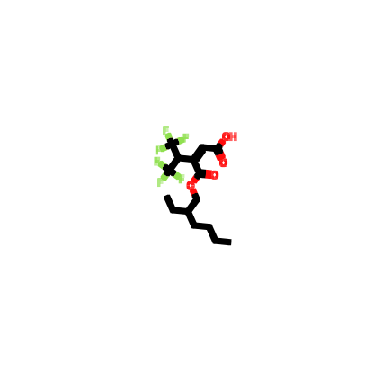 CCCCC(CC)COC(=O)C(=CC(=O)O)C(C(F)(F)F)C(F)(F)F